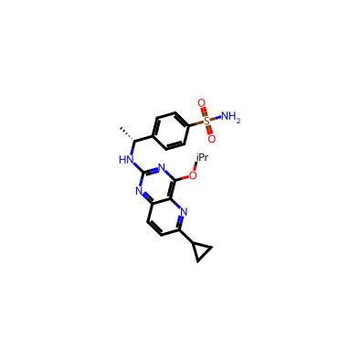 CC(C)Oc1nc(N[C@H](C)c2ccc(S(N)(=O)=O)cc2)nc2ccc(C3CC3)nc12